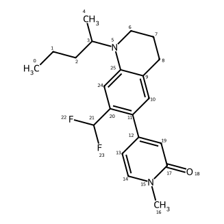 CCCC(C)N1CCCc2cc(-c3ccn(C)c(=O)c3)c(C(F)F)cc21